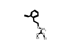 C=Cc1ccccc1CCO[SiH2]C(OCC)OCC